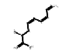 C=C/C=C\C=C/C[C@H](O)C(=O)S